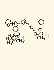 CC(OCCOCCn1cc(-c2nn(C3CCCCO3)c3ccc(O[Si](C)(C)C(C)(C)C)cc23)cn1)C(C)OCc1ccccc1